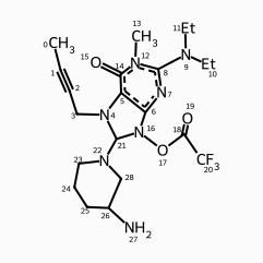 CC#CCN1c2c(nc(N(CC)CC)n(C)c2=O)N(OC(=O)C(F)(F)F)C1N1CCCC(N)C1